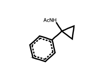 CC(=O)NC1(c2cc[c]cc2)CC1